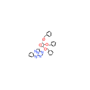 CN(c1ccccc1)c1ncnc2c([C@@H]3O[C@H](COCc4ccccc4)[C@@H](OCc4ccccc4)[C@H]3OCc3ccccc3)cnn12